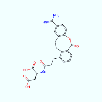 N=C(N)c1ccc2c(c1)CCc1c(CCC(=O)N[C@@H](CC(=O)O)C(=O)O)cccc1C(=O)O2